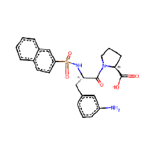 Nc1cccc(C[C@H](NS(=O)(=O)c2ccc3ccccc3c2)C(=O)N2CCC[C@H]2C(=O)O)c1